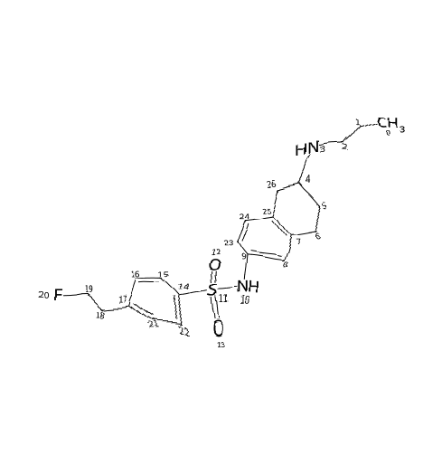 CCCNC1CCc2cc(NS(=O)(=O)c3ccc(CCF)cc3)ccc2C1